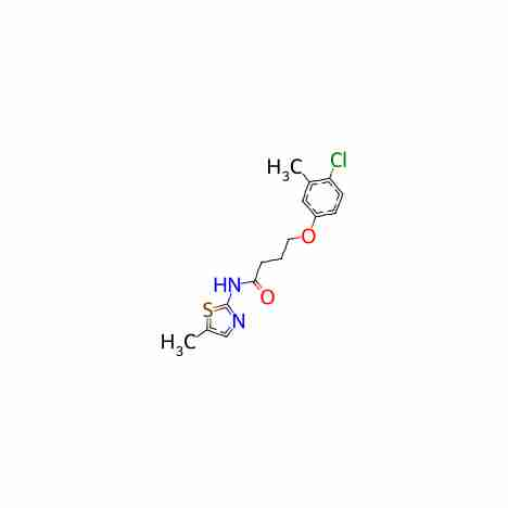 Cc1cnc(NC(=O)CCCOc2ccc(Cl)c(C)c2)s1